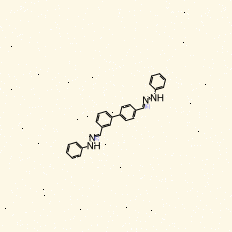 C(=N\Nc1ccccc1)/c1ccc(-c2cccc(/C=N/Nc3ccccc3)c2)cc1